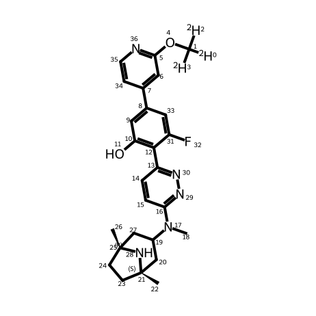 [2H]C([2H])([2H])Oc1cc(-c2cc(O)c(-c3ccc(N(C)C4C[C@]5(C)CC[C@](C)(C4)N5)nn3)c(F)c2)ccn1